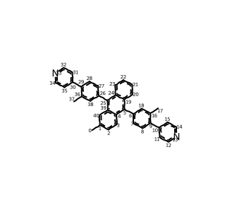 Cc1ccc2c(-c3ccc(-c4ccncc4)c(C)c3)c3ccccc3c(-c3ccc(-c4ccncc4)c(C)c3)c2c1